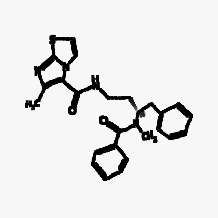 Cc1nc2sccn2c1C(=O)NCC[C@H](Cc1ccccc1)N(C)C(=O)c1ccccc1